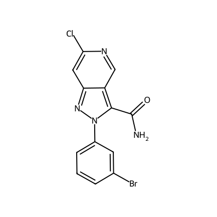 NC(=O)c1c2cnc(Cl)cc2nn1-c1cccc(Br)c1